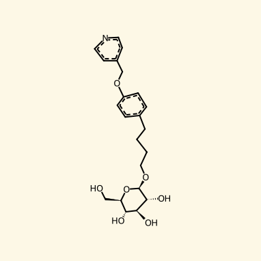 OC[C@H]1O[C@@H](OCCCCc2ccc(OCc3ccncc3)cc2)[C@H](O)[C@@H](O)[C@@H]1O